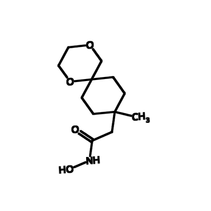 CC1(CC(=O)NO)CCC2(CC1)COCCO2